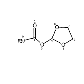 CCC(C)C(=O)OC1OCCO1